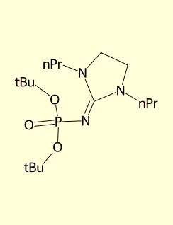 CCCN1CCN(CCC)C1=NP(=O)(OC(C)(C)C)OC(C)(C)C